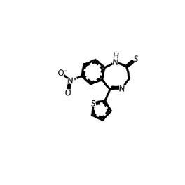 O=[N+]([O-])c1ccc2c(c1)C(c1cccs1)=NCC(=S)N2